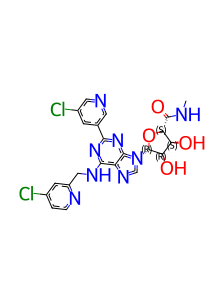 CNC(=O)[C@H]1O[C@@H](n2cnc3c(NCc4cc(Cl)ccn4)nc(-c4cncc(Cl)c4)nc32)[C@H](O)[C@@H]1O